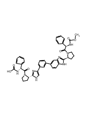 COC(=O)N[C@@H](C(=O)N1CCC[C@H]1c1nc2cc(-c3cccc(-c4c[nH]c([C@@H]5CCCN5C(=O)[C@H](NC(=O)O)c5ccccc5)n4)c3)ccc2[nH]1)c1ccccc1